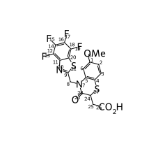 COc1ccc2c(c1)N(Cc1nc3c(F)c(F)c(F)c(F)c3s1)C(=O)C(CC(=O)O)S2